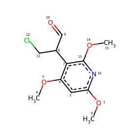 COc1cc(OC)c(C(C=O)CCl)c(OC)n1